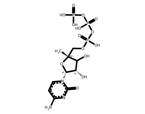 C[C@]1(COP(=O)(O)OP(=O)(O)OP(=O)(O)O)O[C@@H](n2ccc(N)nc2=O)[C@@H](O)C1O